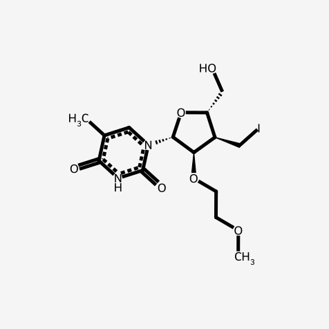 COCCO[C@@H]1[C@H](CI)[C@@H](CO)O[C@H]1n1cc(C)c(=O)[nH]c1=O